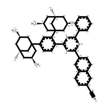 C[C@@H]1C[C@@H]2C[C@H](C)CC(c3ccc(-c4nc(-c5ccccc5)nc(-c5ccc6cc(C#N)ccc6c5)n4)c(C45C[C@H](C)C[C@H](C[C@H](C)C4)C5)c3)(C1)C2